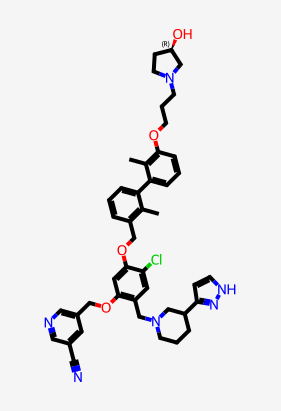 Cc1c(COc2cc(OCc3cncc(C#N)c3)c(CN3CCCC(c4cc[nH]n4)C3)cc2Cl)cccc1-c1cccc(OCCCN2CC[C@@H](O)C2)c1C